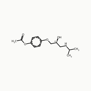 CC(=O)Oc1ccc(OC[C@@H](O)CNC(C)C)cc1